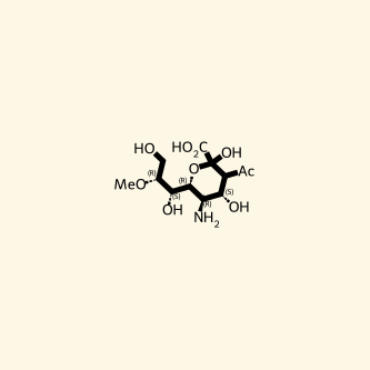 CO[C@H](CO)[C@@H](O)[C@@H]1OC(O)(C(=O)O)C(C(C)=O)[C@H](O)[C@H]1N